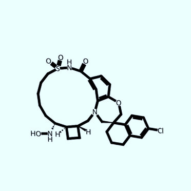 O=C1NS(=O)(=O)CCCCC[C@@H](NO)[C@@H]2CC[C@H]2CN2C[C@@]3(CCCc4cc(Cl)ccc43)COc3ccc1cc32